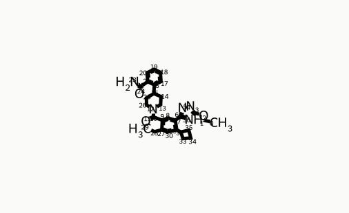 CCOc1nnc(-c2cc(C(=O)N3CCC(c4ccccc4C(N)=O)CC3)c(CC)cc2C2CCC2)[nH]1